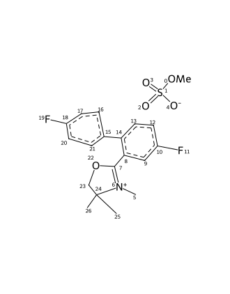 COS(=O)(=O)[O-].C[N+]1=C(c2cc(F)ccc2-c2ccc(F)cc2)OCC1(C)C